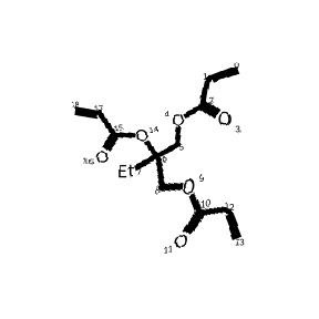 C=CC(=O)OCC(CC)(COC(=O)C=C)OC(=O)C=C